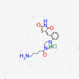 Cl.NCCCCC(=O)N1CCN(c2ccccc2C=C2SC(=O)NC2=O)CC1